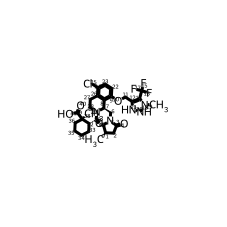 C[C@@H]1CC(=O)N(C[C@@H]2c3c(OCC4=C(C(F)(F)F)N(C)NN4)ccc(Cl)c3CCN2C(=O)[C@@H]2CCCC[C@]2(C)C(=O)O)C1